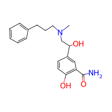 CN(CCCc1ccccc1)CC(O)c1ccc(O)c(C(N)=O)c1